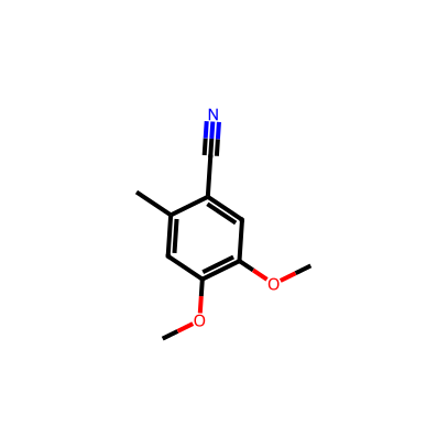 COc1cc(C)c(C#N)cc1OC